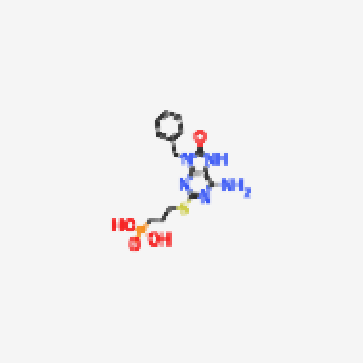 Nc1nc(SCCCP(=O)(O)O)nc2c1[nH]c(=O)n2Cc1ccccc1